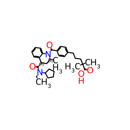 CCN(C(=O)[C@@H]1C[C@H](C)N(C(=O)c2ccc(CCCC(C)(C)C(=O)O)cc2)c2ccccc21)C1CCCC1